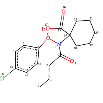 CCCC(=O)N(Oc1ccc(Cl)cc1)C1(C(=O)O)CCCCC1